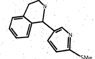 CSc1ccc(C2[N]CCc3ccccc32)cn1